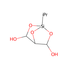 CC(C)[Si]12OC(O)C(O1)C(O)O2